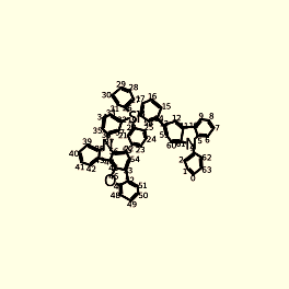 c1ccc(-n2c3ccccc3c3cc(-c4cccc([Si](c5ccccc5)(c5ccccc5)c5cccc(-n6c7ccccc7c7c8oc9ccccc9c8ccc76)c5)c4)ccc32)cc1